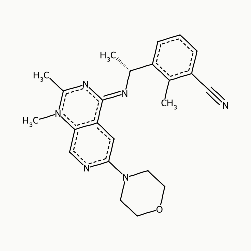 Cc1c(C#N)cccc1[C@@H](C)/N=c1\nc(C)n(C)c2cnc(N3CCOCC3)cc12